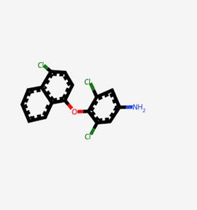 Nc1cc(Cl)c(Oc2ccc(Cl)c3ccccc23)c(Cl)c1